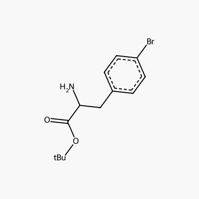 CC(C)(C)OC(=O)C(N)Cc1ccc(Br)cc1